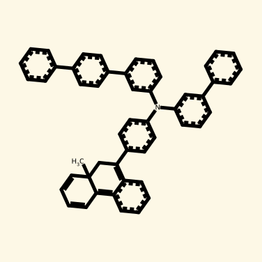 CC12C=CC=CC1=c1ccccc1=C(c1ccc(N(c3cccc(-c4ccccc4)c3)c3cccc(-c4ccc(-c5ccccc5)cc4)c3)cc1)C2